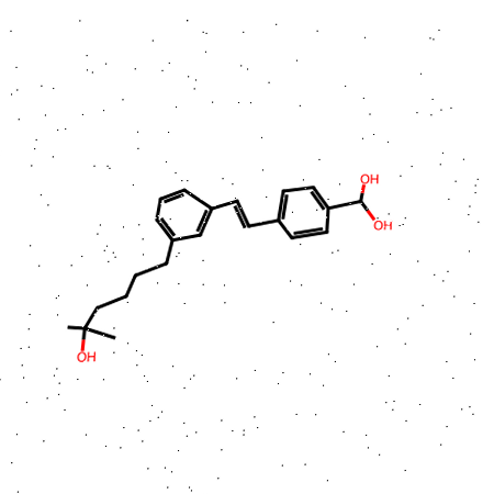 CC(C)(O)CCCCc1cccc(C=Cc2ccc(C(O)O)cc2)c1